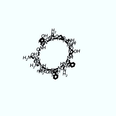 CCCC[C@H]1C(=O)N(C)[C@@H](CCCC)C(=O)N[C@@H](CN)C(=O)N[C@H](C(=O)NCC(N)=O)CSCC(=O)N[C@@H](Cc2ccc(O)cc2)C(=O)N(C)[C@@H](C)C(=O)N[C@@H](CC(N)=O)C(=O)N2CCC[C@H]2C(=O)N[C@@H](CN)C(=O)N[C@@H](CC(C)C)C(=O)N2C[C@H](O)C[C@H]2C(=O)N[C@@H](Cc2c[nH]c3ccccc23)C(=O)N[C@@H](CCN)C(=O)N[C@@H](Cc2csc3ccccc23)C(=O)N1C